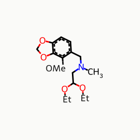 CCOC(CN(C)Cc1ccc2c(c1OC)OCO2)OCC